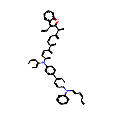 C=C/C=C\C=C\N(C/C=C\C(=C/C)c1ccc(N(C(=C)/C=C\C(=C)C(=C)/C=C\C(=C)C(=C)c2oc3ccccc3c2C=C)C(/C=C\C)=C/C)cc1)c1ccccc1